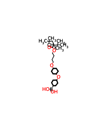 CC(C)(C)CC(C(=O)OCCCCOc1ccc(Oc2ccc(B(O)O)cc2)cc1)C(C)(C)C